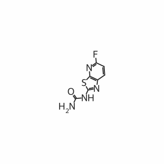 NC(=O)Nc1nc2ccc(F)nc2s1